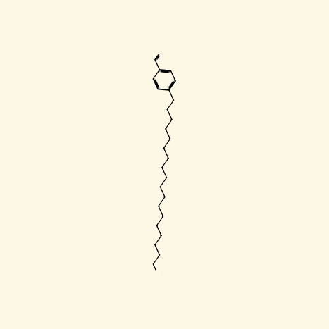 CCCCCCCCCCCCCCCCCCCc1ccc(C=S)cc1